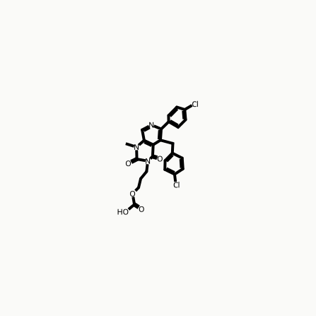 Cn1c(=O)n(CCCOC(=O)O)c(=O)c2c(Cc3ccc(Cl)cc3)c(-c3ccc(Cl)cc3)ncc21